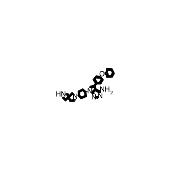 Nc1ncnc2c1c(-c1ccc(Oc3ccccc3)cc1)cn2[C@H]1CC[C@@H](N2CCC3(CCNC3)C2)CC1